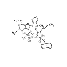 COc1nc(N)nc2c1nc(I)n2[C@@H]1O[C@H](COP(=O)(NC(CCSC)C(=O)O[C@@H](C)c2ccccc2)Oc2cccc3ccccc23)[C@@H](O)[C@@]1(C)O